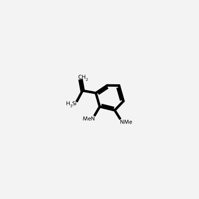 C=C([SiH3])c1cccc(NC)c1NC